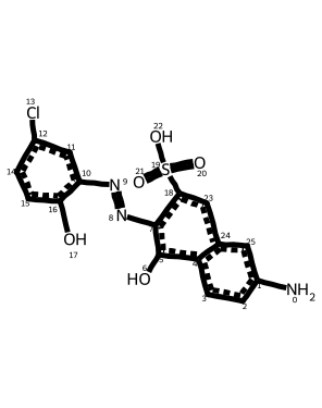 Nc1ccc2c(O)c(/N=N/c3cc(Cl)ccc3O)c(S(=O)(=O)O)cc2c1